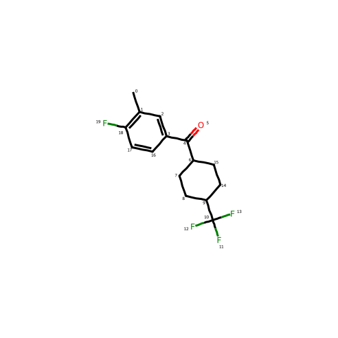 Cc1cc(C(=O)C2CCC(C(F)(F)F)CC2)ccc1F